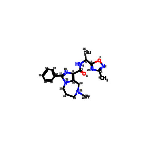 Cc1noc([C@@H](NC(=O)c2nc(-c3ccccc3)n3c2CN(C(C)C)CCC3)C(C)(C)C)n1